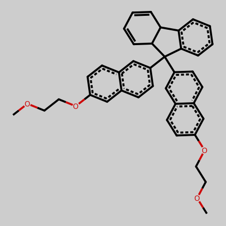 COCCOc1ccc2cc(C3(c4ccc5cc(OCCOC)ccc5c4)c4ccccc4C4C=CC=CC43)ccc2c1